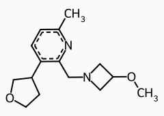 COC1CN(Cc2nc(C)ccc2C2CCOC2)C1